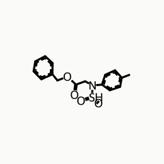 Cc1ccc(N(CC(=O)OCc2ccccc2)[SH](=O)=O)cc1